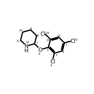 Clc1cc(Cl)c(OC2CCC[CH]N2)c(Cl)c1